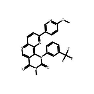 COc1ccc(-c2ccc3ncc4c(=O)n(C)c(=O)n(-c5cccc(C(F)(F)F)c5)c4c3n2)cn1